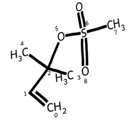 C=CC(C)(C)OS(C)(=O)=O